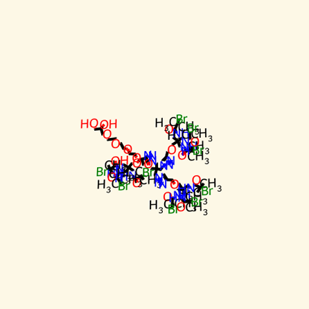 CC(C)(Br)C(=O)NCC(CNC(=O)C(C)(C)Br)(CNC(=O)C(C)(C)Br)COCc1cn(CC(COCCOCCOCCOCCOCC(O)CO)(Cn2cc(COCC(CNC(=O)C(C)(C)Br)(CNC(=O)C(C)(C)Br)CNC(=O)C(C)(C)Br)nn2)Cn2cc(COCC(CNC(=O)C(C)(C)Br)(CNC(=O)C(C)(C)Br)CNC(O)C(C)(C)Br)nn2)nn1